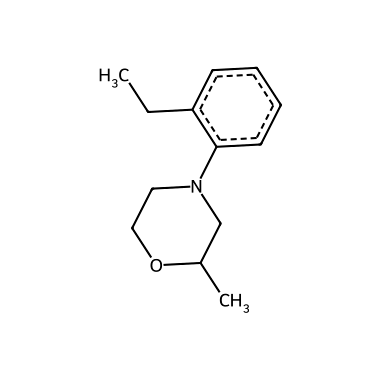 CCc1ccccc1N1CCOC(C)C1